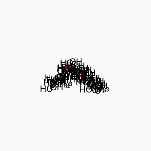 C#CCOCC(O)CO.C=C(C)COC(C)(O)CO.C=C(O)C(C)(O)C(C)OC(O)CCO.C=CC(Cl)SCC(O)CO.C=CCOCC(O)CO.CC(=O)OC(SCC(O)CO)C(O)CCO.CC(O)C(C)(C)O.CC(O)C(C)(O)COC(O)CCO.CCC(C)(O)CO.CCC(O)(C(C)O)C(C)(C)OC(O)CCO.O=[N+]([O-])C(CO)CO